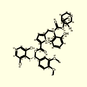 COc1ccc([C@H](Cc2c(Cl)cncc2Cl)OC(=O)c2ccc(CN(C(=O)O[C@H]3CN4CCC3CC4)c3c(O)cccc3O)s2)cc1OC